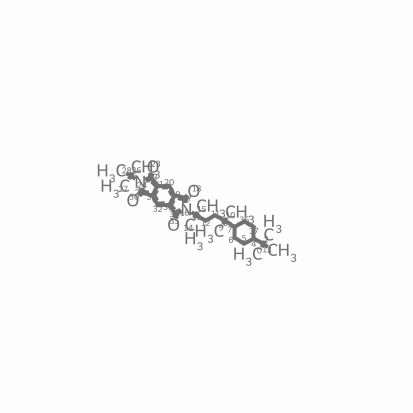 CC(C)(C)C1CCC(C(C)(C)CCC(C)(C)n2c(=O)c3cc4c(=O)n(C(C)(C)C)c(=O)c4cc3c2=O)CC1